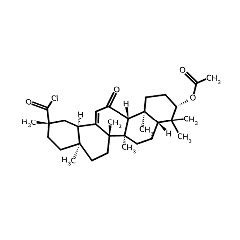 CC(=O)O[C@H]1CC[C@]2(C)[C@H]3C(=O)C=C4[C@@H]5C[C@@](C)(C(=O)Cl)CC[C@]5(C)CC[C@@]4(C)[C@]3(C)CC[C@H]2C1(C)C